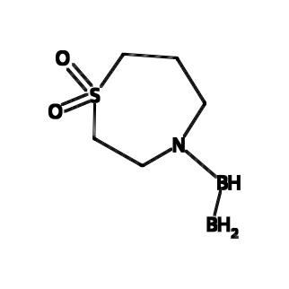 BBN1CCCS(=O)(=O)CC1